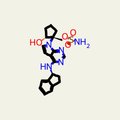 NS(=O)(=O)OC[C@]1(n2ccc3c(N[C@H]4CCc5ccccc54)ncnc32)CCC[C@H]1O